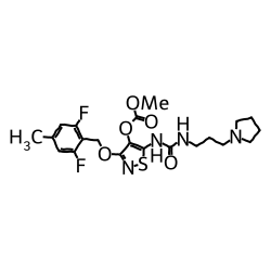 COC(=O)Oc1c(OCc2c(F)cc(C)cc2F)nsc1NC(=O)NCCCN1CCCC1